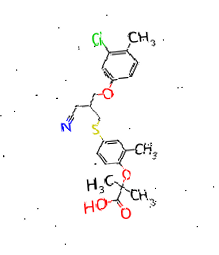 Cc1ccc(OCC(CC#N)CSc2ccc(OC(C)(C)C(=O)O)c(C)c2)cc1Cl